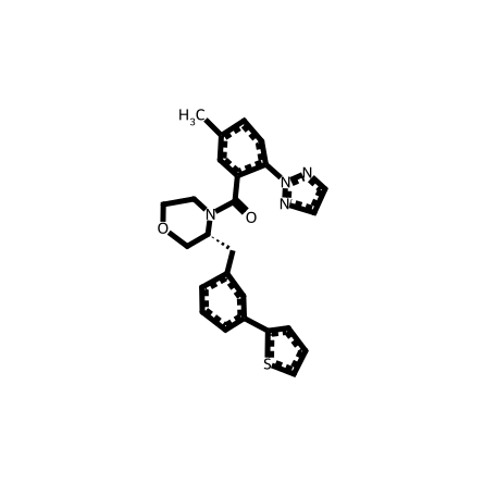 Cc1ccc(-n2nccn2)c(C(=O)N2CCOC[C@H]2Cc2cccc(-c3cccs3)c2)c1